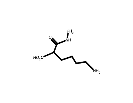 NCCCCC(C(=O)O)C(=O)NP